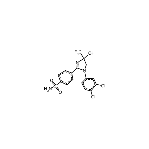 NS(=O)(=O)c1ccc(C2=NC(O)(C(F)(F)F)CN2c2ccc(Cl)c(Cl)c2)cc1